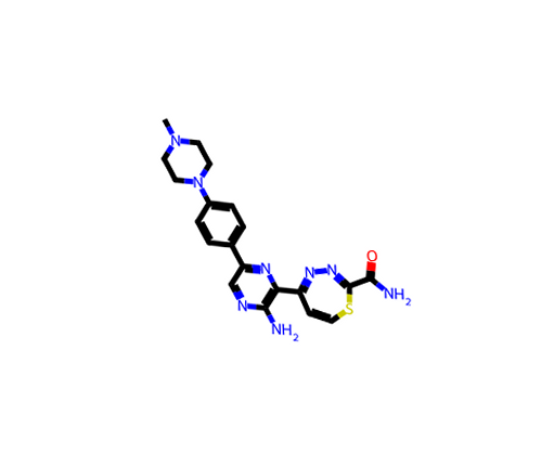 CN1CCN(c2ccc(-c3cnc(N)c(C4=NN=C(C(N)=O)SC=C4)n3)cc2)CC1